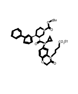 CCOC(=O)CCCN1C(=O)COc2ccc(N(C(=O)[C@H]3CN(C(=O)OC(C)(C)C)CC[C@@H]3c3cccc(-c4ccccc4)c3)C3CC3)cc21